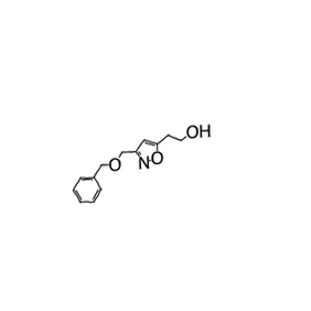 OCCc1cc(COCc2ccccc2)no1